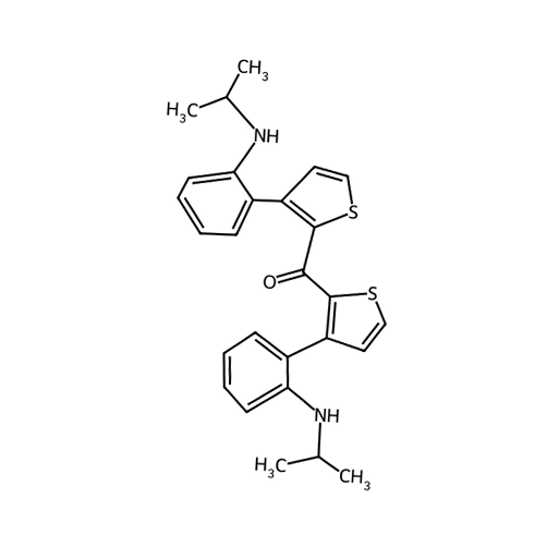 CC(C)Nc1ccccc1-c1ccsc1C(=O)c1sccc1-c1ccccc1NC(C)C